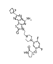 Nc1nc2c(sc(=O)n2CCN2CCN(c3cc(O[C@H]4CCNC4=O)c(F)cc3F)CC2)c2nc(-c3ccco3)nn12